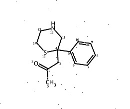 CC(=O)CC1(c2ccccc2)CNCCS1